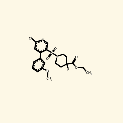 CCOC(=O)C1(F)CCN(S(=O)(=O)c2cnc(Cl)cc2-c2cccc(OC)c2)CC1